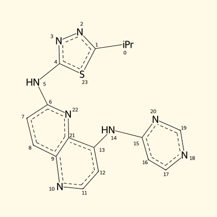 CC(C)c1nnc(Nc2ccc3nccc(Nc4ccncn4)c3n2)s1